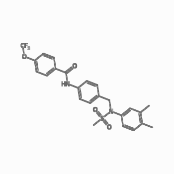 Cc1ccc(N(Cc2ccc(NC(=O)c3ccc(OC(F)(F)F)cc3)cc2)S(C)(=O)=O)cc1C